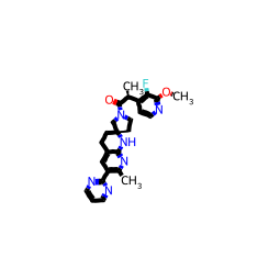 COc1nccc([C@H](C)C(=O)N2CC[C@@]3(CCc4cc(-c5ncccn5)c(C)nc4N3)C2)c1F